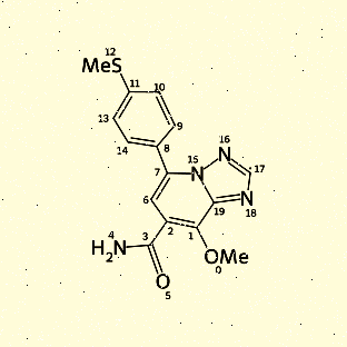 COc1c(C(N)=O)cc(-c2ccc(SC)cc2)n2n[c]nc12